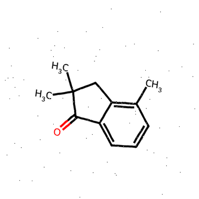 Cc1cccc2c1CC(C)(C)C2=O